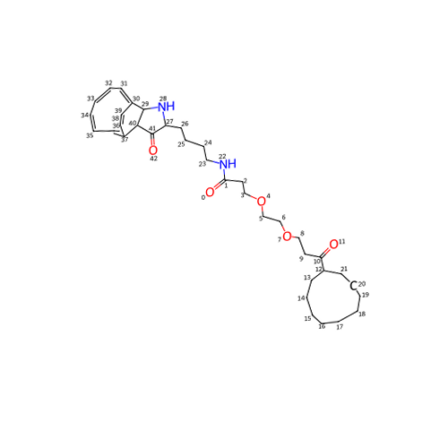 O=C(CCOCCOCCC(=O)C1CCCCCCCCC1)NCCCCC1NC2/C3=C/C=C\C=C/C=C(C=C3)/C2C1=O